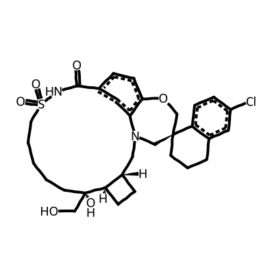 O=C1NS(=O)(=O)CCCCC[C@](O)(CO)[C@@H]2CC[C@H]2CN2C[C@@]3(CCCc4cc(Cl)ccc43)COc3ccc1cc32